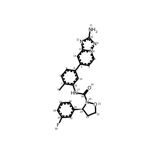 Cc1ccc(-c2ccn3nc(N)nc3c2)cc1NC(=O)N1OCC[C@H]1c1cccc(F)c1